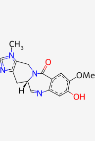 COc1cc2c(cc1O)N=C[C@@H]1Cc3ncn(C)c3CN1C2=O